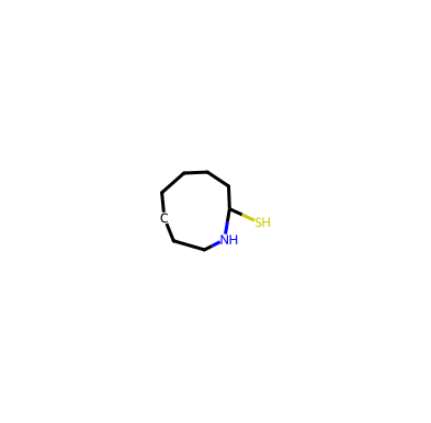 SC1CCCCCCCN1